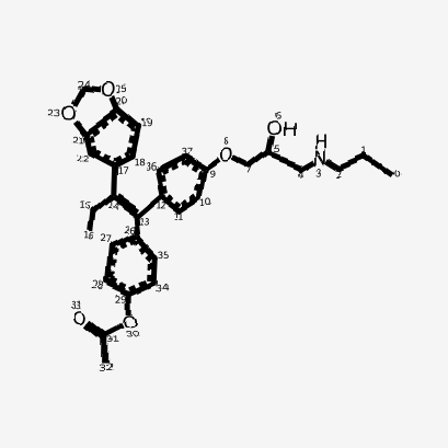 CCCNCC(O)COc1ccc(/C(=C(/CC)c2ccc3c(c2)OCO3)c2ccc(OC(C)=O)cc2)cc1